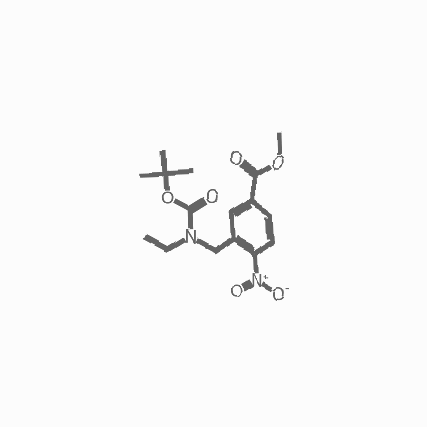 CCN(Cc1cc(C(=O)OC)ccc1[N+](=O)[O-])C(=O)OC(C)(C)C